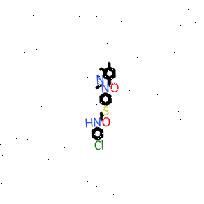 Cc1ccc2c(=O)n(-c3ccc(SCC(=O)Nc4ccc(Cl)cc4)cc3)c(C)nc2c1C